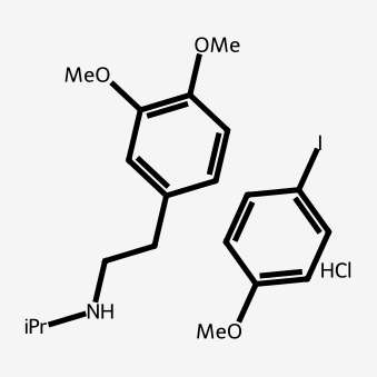 COc1ccc(CCNC(C)C)cc1OC.COc1ccc(I)cc1.Cl